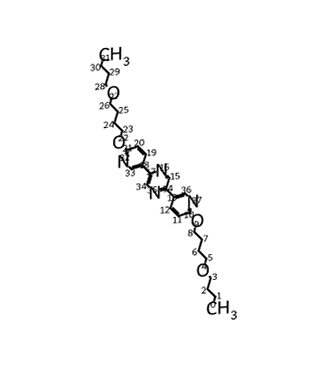 CCCCOCCCCOc1ccc(-c2cnc(-c3ccc(OCCCCOCCCC)nc3)cn2)cn1